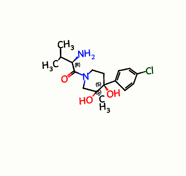 CC(C)[C@@H](N)C(=O)N1CC[C@](O)(c2ccc(Cl)cc2)[C@@](C)(O)C1